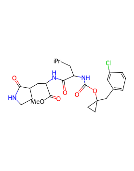 COC(=O)C(CC1CCNC1=O)NC(=O)C(CC(C)C)NC(=O)OC1(Cc2cccc(Cl)c2)CC1